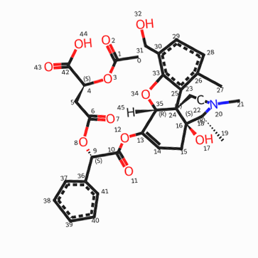 CC(=O)O[C@@H](CC(=O)O[C@H](C(=O)OC1=CC[C@@]2(O)[C@@H](C)N(C)CC[C@@]23c2c(C)ccc(CO)c2O[C@@H]13)c1ccccc1)C(=O)O